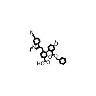 CCn1cc(Cc2ccc(C(=O)O)cc2-c2ccc(OC)cc2C(=O)OCc2ccccc2)c2ccc(C#N)cc21